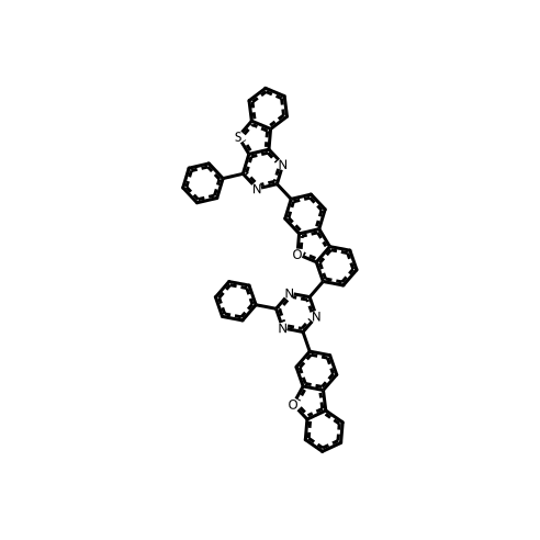 c1ccc(-c2nc(-c3ccc4c(c3)oc3ccccc34)nc(-c3cccc4c3oc3cc(-c5nc(-c6ccccc6)c6sc7ccccc7c6n5)ccc34)n2)cc1